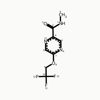 CNC(=O)c1cnc(OCC(F)(F)F)cn1